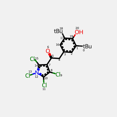 CC(C)(C)c1cc(CC(=O)c2c(Cl)c(Cl)n(Cl)c2Cl)cc(C(C)(C)C)c1O